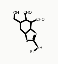 CCNC1=NC2C(CC(CO)C(C=O)C2C=O)S1